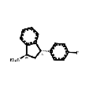 CN[C@@H]1C[C@@H](c2ccc(F)cc2)c2ccccc21